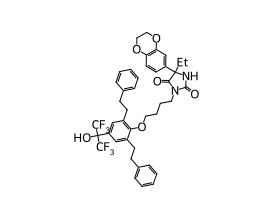 CCC1(c2ccc3c(c2)OCCO3)NC(=O)N(CCCCOc2c(CCc3ccccc3)cc(C(O)(C(F)(F)F)C(F)(F)F)cc2CCc2ccccc2)C1=O